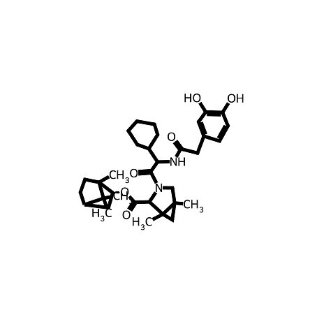 CC12CN(C(=O)C(NC(=O)Cc3ccc(O)c(O)c3)C3CCCCC3)C(C(=O)O[C@@H]3CC4CCC3(C)C4(C)C)C1(C)C2